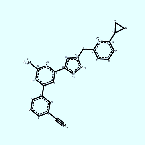 N#Cc1cccc(-c2cc(-c3cn(Cc4cccc(C5CC5)n4)nn3)nc(N)n2)c1